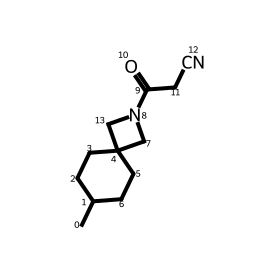 CC1CCC2(CC1)CN(C(=O)CC#N)C2